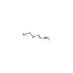 CCCOC=CN